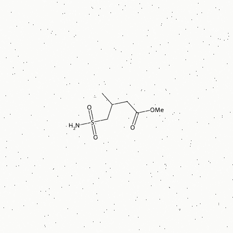 COC(=O)CC(C)CS(N)(=O)=O